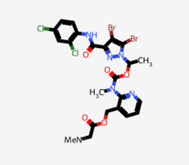 CNCC(=O)OCc1cccnc1N(C)C(=O)OC(C)n1nc(C(=O)Nc2ccc(Cl)cc2Cl)c(Br)c1Br